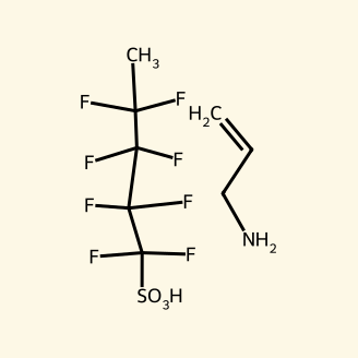 C=CCN.CC(F)(F)C(F)(F)C(F)(F)C(F)(F)S(=O)(=O)O